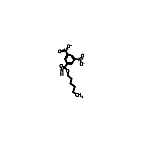 CCCCCCOC1(c2cc([N+](=O)[O-])cc([N+](=O)[O-])c2)NO1